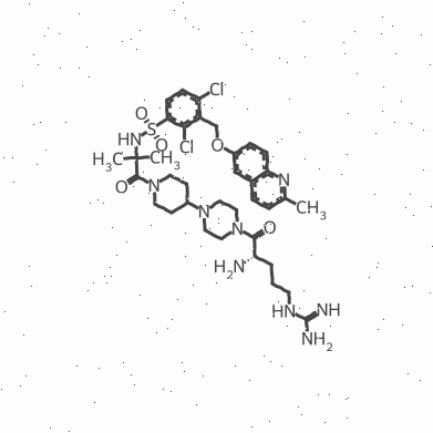 Cc1ccc2cc(OCc3c(Cl)ccc(S(=O)(=O)NC(C)(C)C(=O)N4CCC(N5CCN(C(=O)[C@@H](N)CCCNC(=N)N)CC5)CC4)c3Cl)ccc2n1